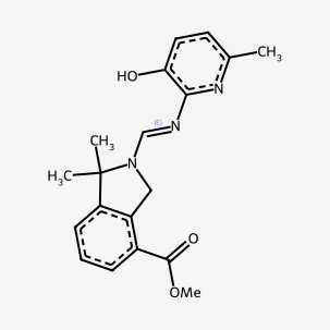 COC(=O)c1cccc2c1CN(/C=N/c1nc(C)ccc1O)C2(C)C